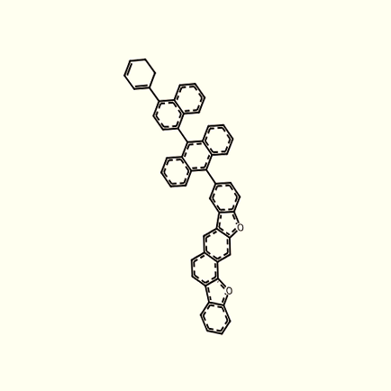 C1=CCCC(c2ccc(-c3c4ccccc4c(-c4ccc5oc6cc7c(ccc8c9ccccc9oc78)cc6c5c4)c4ccccc34)c3ccccc23)=C1